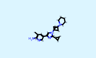 Cc1cc(-c2cn(C34CC(N5CCCCC5)(C3)C4)c(C3CC3)n2)cnc1N